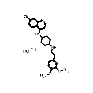 COc1ccc(CCNC2CCC(Nc3ccnc4cc(Cl)ccc34)CC2)cc1OC.Cl.Cl